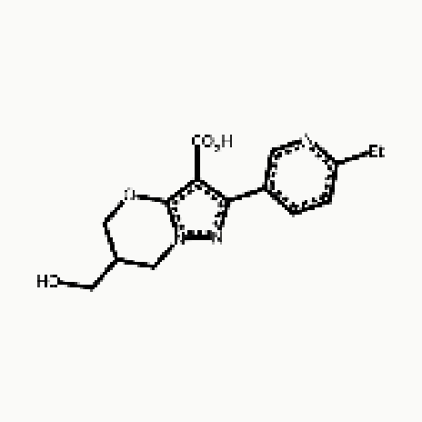 CCc1ccc(-c2nn3c(c2C(=O)O)OCC(CO)C3)cn1